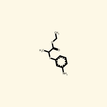 CCOC(=O)C(C)Sc1cccc(N)c1